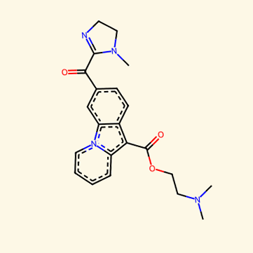 CN(C)CCOC(=O)c1c2ccc(C(=O)C3=NCCN3C)cc2n2ccccc12